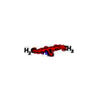 C=CC(=O)OCCCOc1ccc(OC(=O)C2CCC(C(=O)OCCc3ccc(OC(=O)C4CCC(C(=O)Oc5ccc(OCCCOC(=O)C=C)cc5)CC4)c(/C=N/Nc4nc5ccccc5s4)c3)CC2)cc1